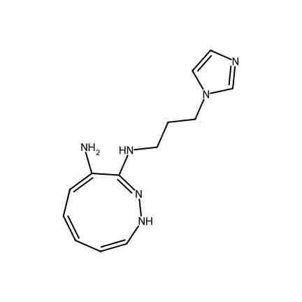 Nc1ccccc[nH]nc1NCCCn1ccnc1